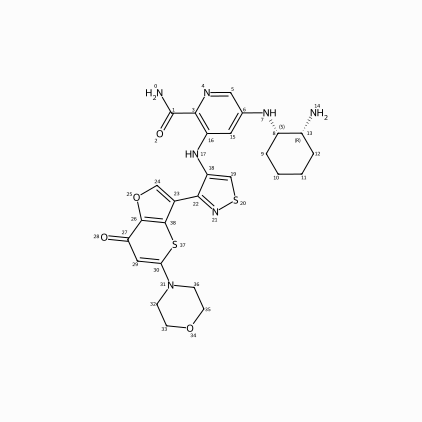 NC(=O)c1ncc(N[C@H]2CCCC[C@H]2N)cc1Nc1csnc1-c1coc2c(=O)cc(N3CCOCC3)sc12